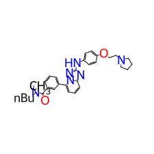 CCCCN(C)C(=O)c1cccc(-c2cccc3nc(Nc4ccc(OCCN5CCCC5)cc4)nn23)c1